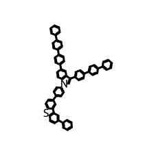 c1ccc(-c2ccc(-c3ccc(-c4ccc5c(c4)c(-c4ccc(-c6ccc(-c7ccccc7)cc6)cc4)cn5-c4ccc(-c5ccc6sc7ccc(-c8ccccc8)cc7c6c5)cc4)cc3)cc2)cc1